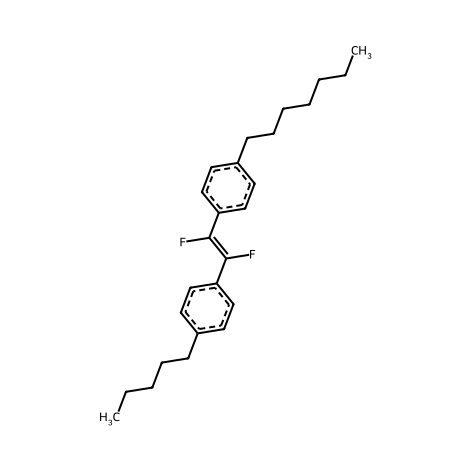 CCCCCCCc1ccc(/C(F)=C(\F)c2ccc(CCCCC)cc2)cc1